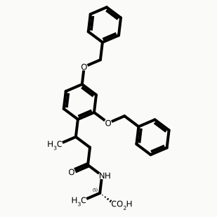 CC(CC(=O)N[C@@H](C)C(=O)O)c1ccc(OCc2ccccc2)cc1OCc1ccccc1